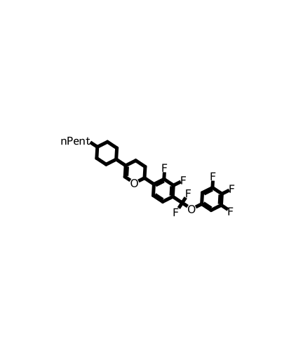 CCCCCC1CCC(C2=COC(c3ccc(C(F)(F)Oc4cc(F)c(F)c(F)c4)c(F)c3F)CC2)CC1